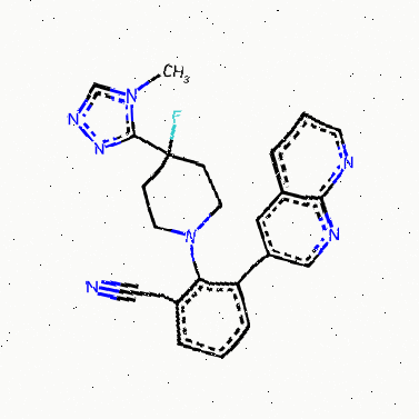 Cn1cnnc1C1(F)CCN(c2c(C#N)cccc2-c2cnc3ncccc3c2)CC1